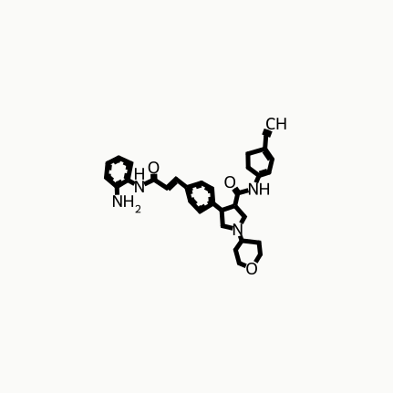 C#CC1=CC=C(NC(=O)C2CN(C3CCOCC3)CC2c2ccc(/C=C/C(=O)Nc3ccccc3N)cc2)CC1